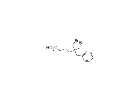 O=C(O)CCCC(CBr)(CBr)Cc1ccccc1